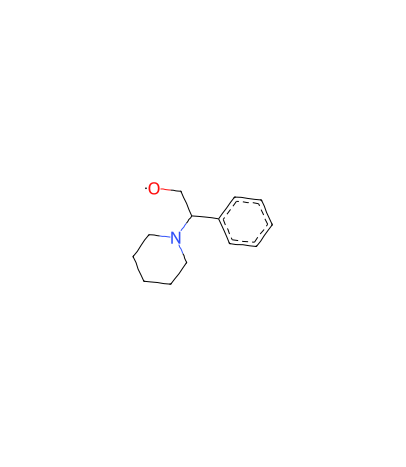 [O]CC(c1ccccc1)N1CCCCC1